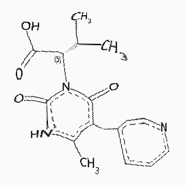 Cc1[nH]c(=O)n([C@H](C(=O)O)C(C)C)c(=O)c1-c1cccnc1